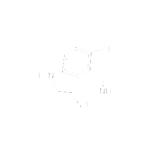 NCCN.NOc1ccccc1O